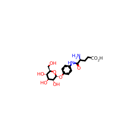 N[C@@H](CCC(=O)O)C(=O)Nc1ccc(O[C@H]2O[C@H](CO)[C@@H](O)[C@H](O)[C@H]2O)cc1